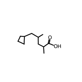 CC(CC1CCC1)CC(C)C(=O)O